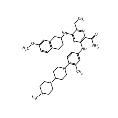 CCc1nc(C(N)=O)c(Nc2ccc(N3CCC(N4CCN(C)CC4)CC3)c(C)c2)nc1N[C@H]1CCc2ccc(OC)cc2C1